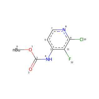 CCCCOC(=O)Nc1ccnc(Cl)c1F